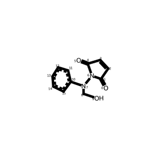 O=C1C=CC(=O)N1N(CO)c1ccccc1